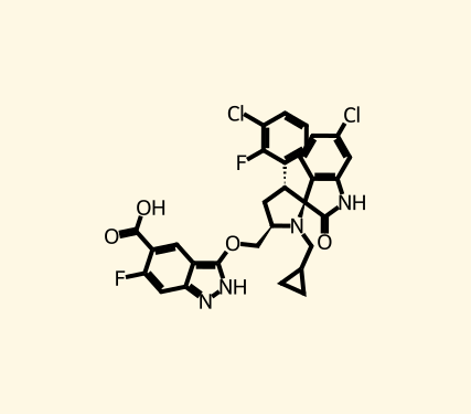 O=C(O)c1cc2c(OC[C@H]3C[C@H](c4cccc(Cl)c4F)[C@]4(C(=O)Nc5cc(Cl)ccc54)N3CC3CC3)[nH]nc2cc1F